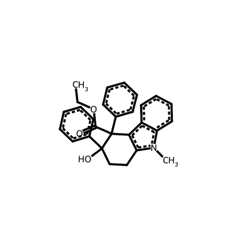 CCOC(=O)C1(c2ccccc2)c2c(n(C)c3ccccc23)CCC1(O)c1ccccc1